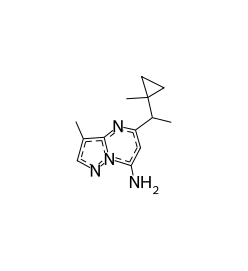 Cc1cnn2c(N)cc(C(C)C3(C)CC3)nc12